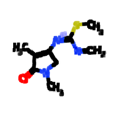 C=N/C(=N\C1=C(C)C(=O)N(C)C1)SC